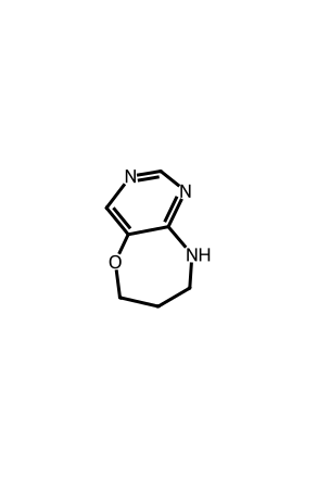 c1ncc2c(n1)NCCCO2